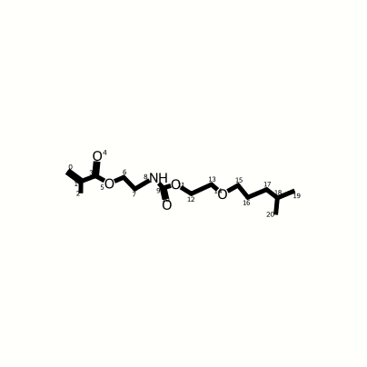 C=C(C)C(=O)OCCNC(=O)OCCOCCCC(C)C